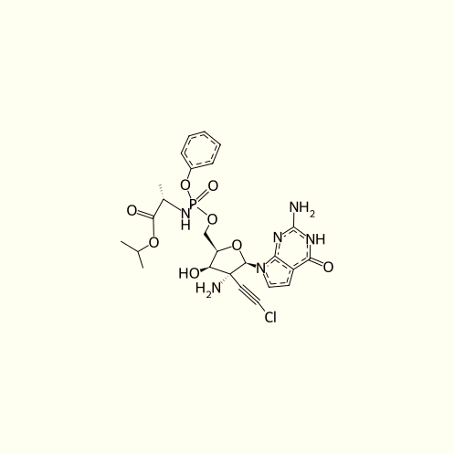 CC(C)OC(=O)[C@H](C)NP(=O)(OC[C@H]1O[C@@H](n2ccc3c(=O)[nH]c(N)nc32)[C@@](N)(C#CCl)[C@H]1O)Oc1ccccc1